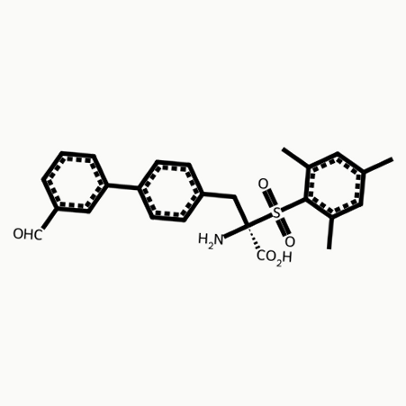 Cc1cc(C)c(S(=O)(=O)[C@@](N)(Cc2ccc(-c3cccc(C=O)c3)cc2)C(=O)O)c(C)c1